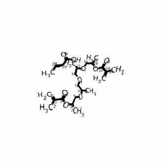 C=C(C)C(=O)OC(C)COC(C)COCC(C)OCC(C)OC(=O)C(=C)C.CC=CC(=O)O